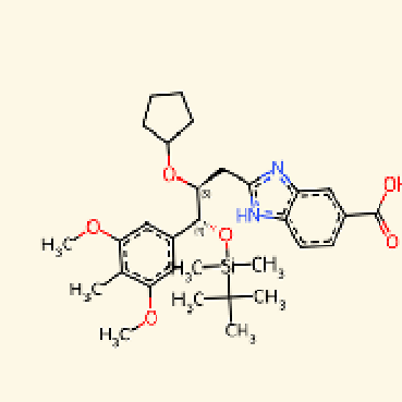 COc1cc([C@@H](O[Si](C)(C)C(C)(C)C)[C@H](Cc2nc3cc(C(=O)O)ccc3[nH]2)OC2CCCC2)cc(OC)c1C